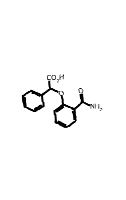 NC(=O)c1ccccc1OC(C(=O)O)c1ccccc1